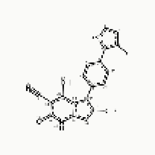 Cc1ccsc1-c1ccc(-n2c(Cl)cc3[nH]c(=O)c(C#N)c(O)c32)cc1